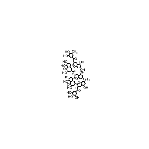 Cc1cc(C(=O)O[C@@H]2Cc3c(O)cc(O)cc3O[C@@H]2c2cc(O)c(O)c3c(=O)c(O)cc(C(=O)O[C@H]4Cc5c(O)cc(O)cc5O[C@H]4c4cc(O)c(O)c5c(=O)c(O)cc([C@H]6Oc7cc(O)cc(O)c7C[C@H]6OC(=O)c6cc(O)c(O)c(O)c6)cc45)cc23)cc(O)c1O